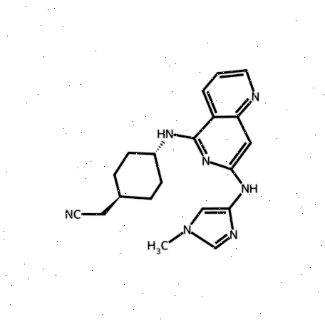 Cn1cnc(Nc2cc3ncccc3c(N[C@H]3CC[C@H](CC#N)CC3)n2)c1